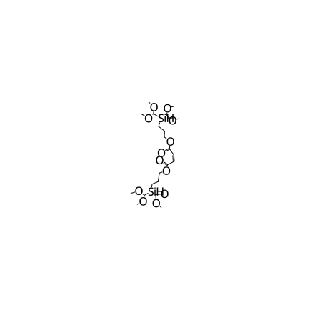 COC(OC)[SiH](CCCOC(=O)/C=C\C(=O)OCCC[SiH](C(OC)OC)C(OC)OC)C(OC)OC